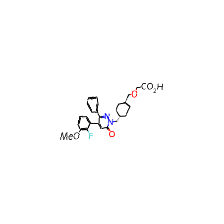 COc1cccc(-c2cc(=O)n(C[C@H]3CC[C@H](COCC(=O)O)CC3)nc2-c2ccccc2)c1F